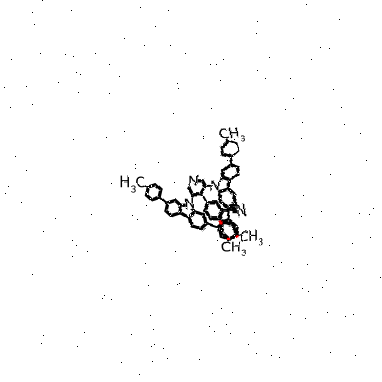 CC1=CC=C(c2ccc3c4ccc(-c5ccc(C)cc5)cc4n(-c4cncc(-n5c6cc(-c7ccc(C)cc7)ccc6c6ccc(-c7ccc(C)cc7)cc65)c4-c4cccc(C#N)c4)c3c2)CC1